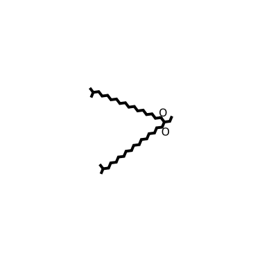 CCC(C(=O)CCCCCCCCCCCCCCC(C)C)C(=O)CCCCCCCCCCCCCCC(C)C